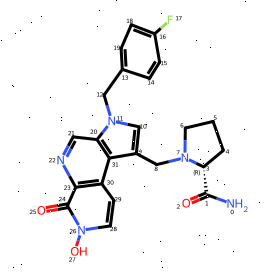 NC(=O)[C@H]1CCCN1Cc1cn(Cc2ccc(F)cc2)c2cnc3c(=O)n(O)ccc3c12